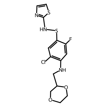 Fc1cc(NCC2COCCO2)c(Cl)cc1SNc1nccs1